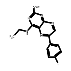 CSc1nc(NCC(F)(F)F)c2nc(-c3ccc(F)cc3)cnc2n1